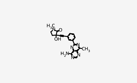 Cc1nc(-c2cccc(C#CC3(O)CCN(C)C3=O)c2)nc2c(N)ncnc12